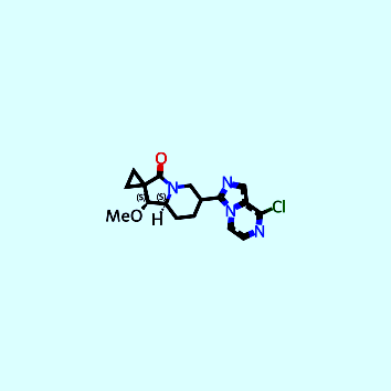 CO[C@@H]1[C@@H]2CCC(c3ncc4c(Cl)nccn34)CN2C(=O)C12CC2